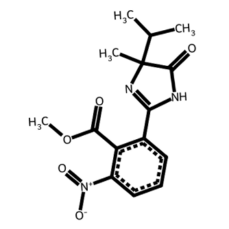 COC(=O)c1c(C2=NC(C)(C(C)C)C(=O)N2)cccc1[N+](=O)[O-]